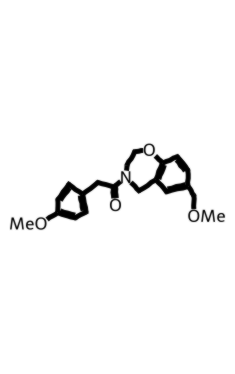 COCc1ccc2c(c1)CN(C(=O)Cc1ccc(OC)cc1)CCO2